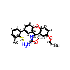 CC(=O)C1=CC=CC(c2ccc3c(c2)[C@@]2(COC(N)=N2)c2cc(OCC(C)(C)C)ccc2O3)C1=S